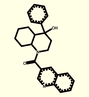 O=C(c1cnc2ccccc2c1)N1CCC(O)(c2ccccc2)C2CCCCC21